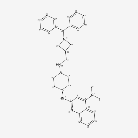 CN(C)c1cc(NC2CCC(NCC3CN(C(c4ccccc4)c4ccccc4)C3)CC2)nc2ccccc12